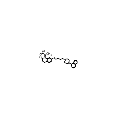 CN(C(=O)O)N1C(=O)CCc2ccc(OCCCCN3CCN(c4cccc5sccc45)CC3)cc21